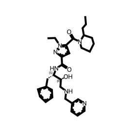 CCCC1CCCCN1C(=O)c1cc(C(=O)N[C@@H](Cc2ccccc2)[C@H](O)CNCc2cccnc2)nn1CC